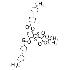 CC1CCC(C2CCC(C(=O)Oc3ccc(OC(=O)C4CCC(C5CCC(C)CC5)CC4)c4c3SC(=C3C(=O)OC(C)(C)OC3=O)S4)CC2)CC1